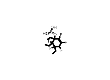 CCC1(OB(O)O)C(F)=C(F)C(F)C(F)(CC)C1(F)CC